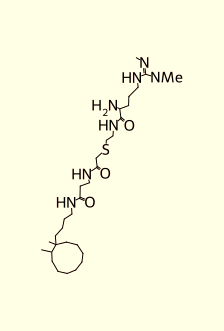 C/N=C(/NC)NCCCC(N)C(=O)NCCSCC(=O)NCCC(=O)NCCCCC1(C)CCCCCCCCC1C